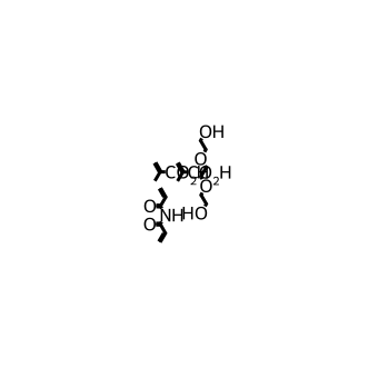 C=C(C)C(=O)O.C=C(C)C(=O)O.C=CC(=O)NC(=O)C=C.OCCOCCOCCO